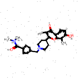 Cc1c(C2CCN(Cc3ccc(C(=O)N(C)C)cc3)CC2)oc2c(C)c(O)ccc2c1=O